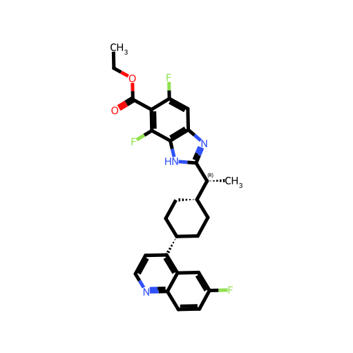 CCOC(=O)c1c(F)cc2nc([C@H](C)[C@H]3CC[C@@H](c4ccnc5ccc(F)cc54)CC3)[nH]c2c1F